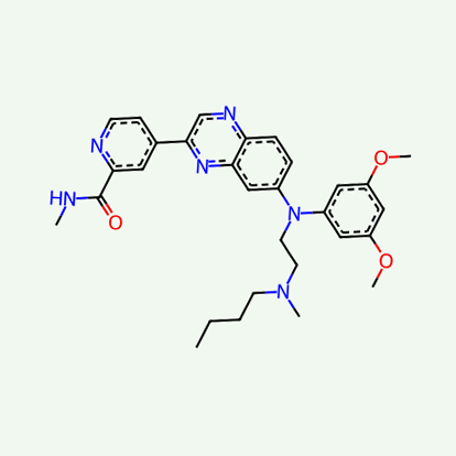 CCCCN(C)CCN(c1cc(OC)cc(OC)c1)c1ccc2ncc(-c3ccnc(C(=O)NC)c3)nc2c1